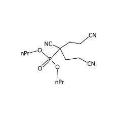 CCCOP(=O)(OCCC)C(C#N)(CCC#N)CCC#N